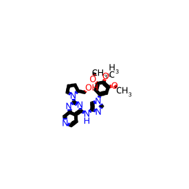 COc1cc(-n2cnc(Nc3nc(N4CCCC4CO)nc4cnccc34)c2)cc(OC)c1OC